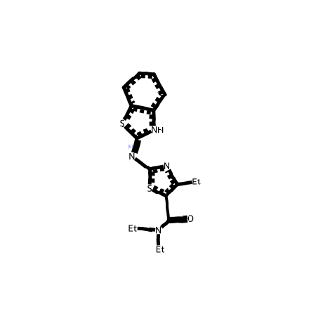 CCc1nc(/N=c2\[nH]c3ccccc3s2)sc1C(=O)N(CC)CC